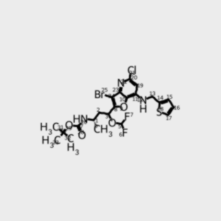 C[C@@H](CC(OC(F)F)c1oc2c(NCc3cccs3)cc(Cl)nc2c1Br)NC(=O)OC(C)(C)C